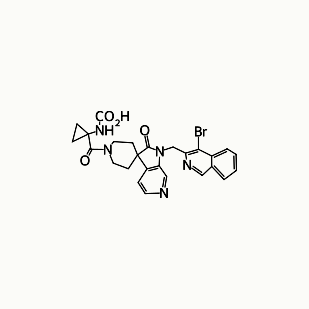 O=C(O)NC1(C(=O)N2CCC3(CC2)C(=O)N(Cc2ncc4ccccc4c2Br)c2cnccc23)CC1